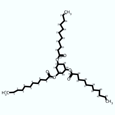 CCCCCCCCCCC(=O)OC1CC(OC(=O)CCCCCCCCCC)CC(OC(=O)CCCCCCCCCC)C1